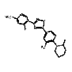 CC1CCCCN1c1ccc(-c2nc(-c3ccc(C(=O)O)cc3F)no2)cc1C(F)(F)F